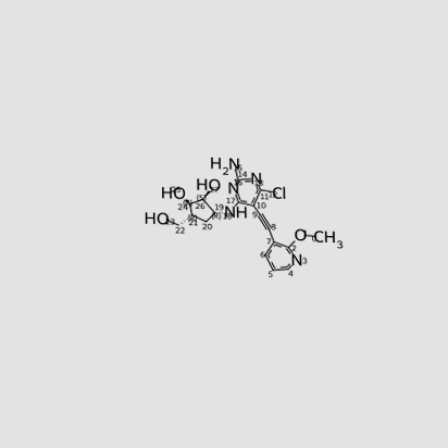 COc1ncccc1C#Cc1c(Cl)nc(N)nc1N[C@@H]1C[C@H](CO)[C@@H](O)[C@H]1O